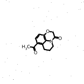 CC(=O)c1ccc2c3c1CCCN3C(=O)CO2